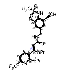 C#Cc1cc(CNC(=O)/C=C(\CCC)c2ccc(C(F)(F)F)nc2CCC)cc(F)c1NS(C)(=O)=O